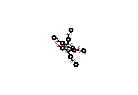 O=C(Oc1ccccc1)c1ccc(C2=NC(c3ccc(Cl)cc3Cl)(n3c(-c4ccc(Cl)cc4Cl)nc(-c4ccc(C(=O)Oc5ccccc5)cc4)c3-c3ccc(C(=O)Oc4ccccc4)cc3)N=C2c2ccc(C(=O)Oc3ccccc3)cc2)cc1